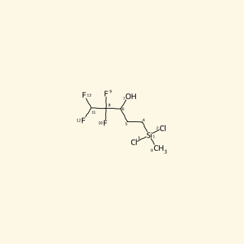 C[Si](Cl)(Cl)CCC(O)C(F)(F)C(F)F